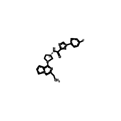 CCc1cn2cccc2c(N2CC[C@H](NC(=O)c3ncn(-c4ccc(F)cc4)n3)C2)n1